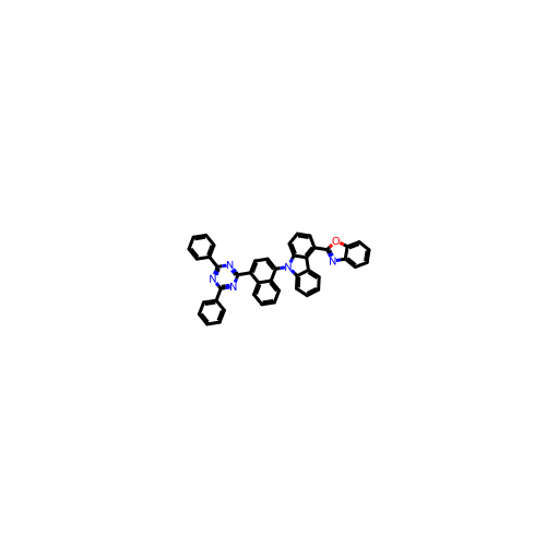 c1ccc(-c2nc(-c3ccccc3)nc(-c3ccc(-n4c5ccccc5c5c(-c6nc7ccccc7o6)cccc54)c4ccccc34)n2)cc1